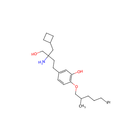 CC(C)CCCC(C)COc1ccc(CCC(N)(CO)CC2CCC2)cc1O